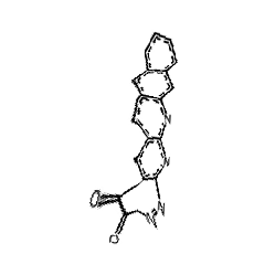 O=C1N=Nc2nc3nc4cc5ccccc5cc4cc3cc2C1=O